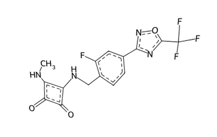 CNc1c(NCc2ccc(-c3noc(C(F)(F)F)n3)cc2F)c(=O)c1=O